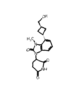 Cn1c(=O)n(C2CCC(=O)NC2=O)c2cccc([C@H]3C[C@H](CO)C3)c21